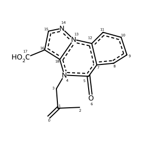 C=C(C)Cn1c(=O)c2ccccc2n2ncc(C(=O)O)c12